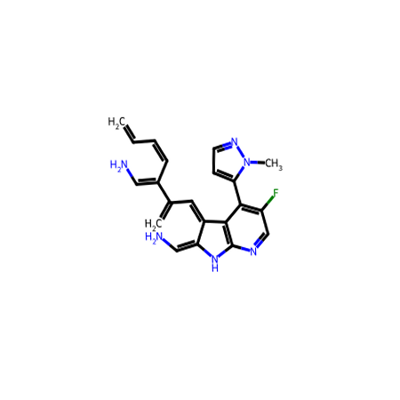 C=C/C=C\C(=C/N)C(=C)/C=c1\c(=C/N)[nH]c2ncc(F)c(-c3ccnn3C)c12